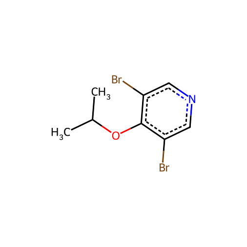 CC(C)Oc1c(Br)cncc1Br